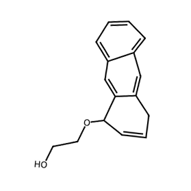 OCCOC1C=CCc2cc3ccccc3cc21